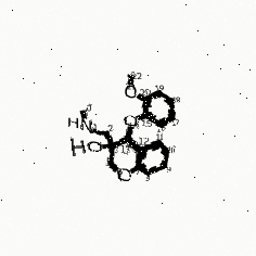 CNCC1(O)COc2ccccc2C1Oc1ccccc1OC